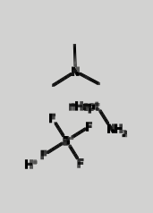 CCCCCCCN.CN(C)C.F[B-](F)(F)F.[H+]